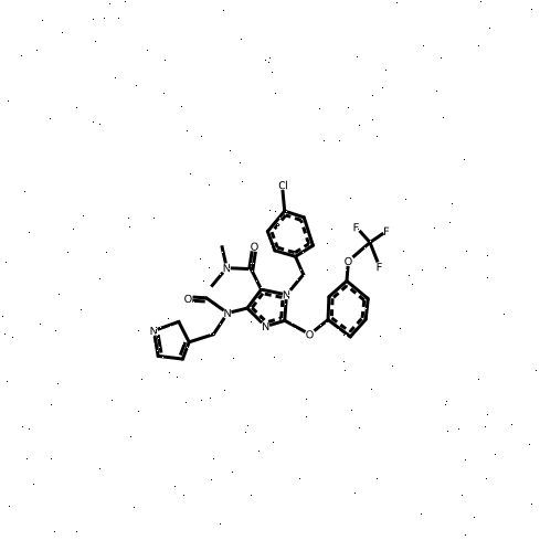 CN(C)C(=O)c1c(N(C=O)CC2=CC=NC2)nc(Oc2cccc(OC(F)(F)F)c2)n1Cc1ccc(Cl)cc1